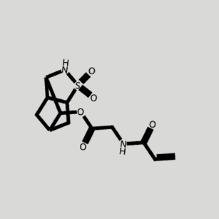 C=CC(=O)NCC(=O)OC1C2CC3C1NS(=O)(=O)C3C2